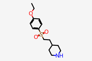 CCOc1ccc(S(=O)(=O)CCC2CCNCC2)cc1